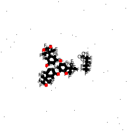 Fc1c(F)c(C(C(F)(F)F)(C(F)(F)F)C(F)(F)F)c(F)c(F)c1[S+](c1c(F)c(F)c(C(C(F)(F)F)(C(F)(F)F)C(F)(F)F)c(F)c1F)c1c(F)c(F)c(C(C(F)(F)F)(C(F)(F)F)C(F)(F)F)c(F)c1F.O=S(=O)([O-])C(F)(F)C(F)(F)C(F)(F)C(F)(F)F